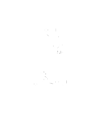 O=C(O)C=CCC(COC1CCCCC1)OC(=O)NCCCCCCNC(=O)OC(CC=CC(=O)O)COC1CCCCC1